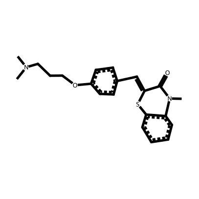 CN(C)CCCOc1ccc(C=C2Sc3ccccc3N(C)C2=O)cc1